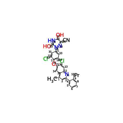 Cc1cc(-c2ccccc2C(C)C)nc2ccc(Oc3c(Cl)cc(N4N=C(C#N)C(O)NC4O)cc3Cl)cc12